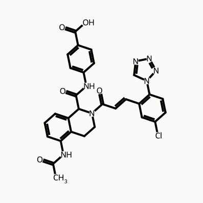 CC(=O)Nc1cccc2c1CCN(C(=O)/C=C/c1cc(Cl)ccc1-n1cnnn1)C2C(=O)Nc1ccc(C(=O)O)cc1